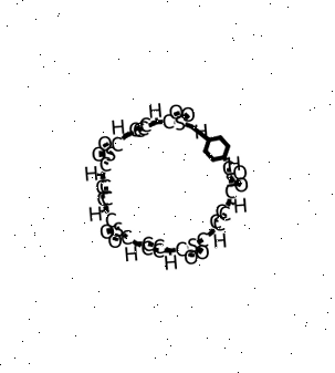 O=S1(=O)C[C@H]2CC[C@H](CC2)CS(=O)(=O)C[C@H]2CC[C@H](CC2)CS(=O)(=O)C[C@H]2CC[C@H](CC2)CS(=O)(=O)C[C@H]2CC[C@H](CC2)CS(=O)(=O)C[C@H]2CC[C@H](CC2)C1